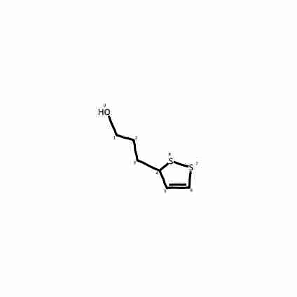 OCCCC1C=CSS1